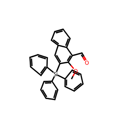 COc1c([Si](c2ccccc2)(c2ccccc2)c2ccccc2)cc2ccccc2c1C=O